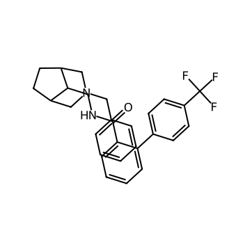 O=C(NCC1C2CCC1CN(Cc1ccccc1)C2)c1ccccc1-c1ccc(C(F)(F)F)cc1